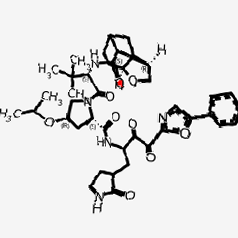 CC(C)O[C@@H]1C[C@@H](C(=O)NC(CC2CCNC2=O)C(=O)C(=O)c2ncc(-c3ccccc3)o2)N(C(=O)[C@@H](NC(=O)C2C3CC[C@@H]4OC[C@@H]2C4C3)C(C)(C)C)C1